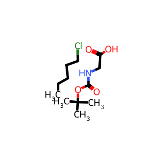 CC(C)(C)OC(=O)NCC(=O)O.CCCCCCl